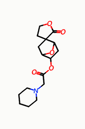 O=C(CN1CCCCC1)OC1CC2OC1CC21CCOC1=O